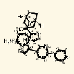 CCc1c([C@@H]2C[C@H]3CC[C@@H](C2)N3C(=O)c2nnc[nH]2)nc2c(-c3ccc(-c4ccccc4)nc3)cnn2c1N